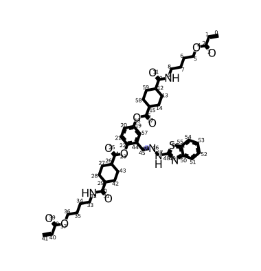 C=CC(=O)OCCCCNC(=O)C1CCC(C(=O)Oc2ccc(OC(=O)C3CCC(C(=O)NCCCCOC(=O)C=C)CC3)c(/C=N/Nc3nc4ccccc4s3)c2)CC1